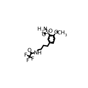 COc1ccc(CCCCNC(=O)C(F)(F)F)cc1S(N)(=O)=O